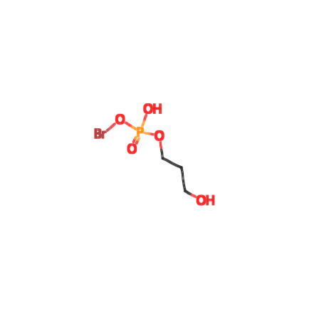 O=P(O)(OBr)OCCCO